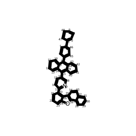 c1ccc(-c2ccc(-c3c4ccccc4c(-c4ccc(-c5cccc6oc7c8ccccc8ccc7c56)nc4)c4ccccc34)cc2)cc1